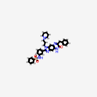 O=c1[nH]c2cc3nc(-c4cccc(NS(=O)(=O)c5ccccc5)c4)n(CCCN4CCCCC4)c3cc2nc1Cc1ccccc1